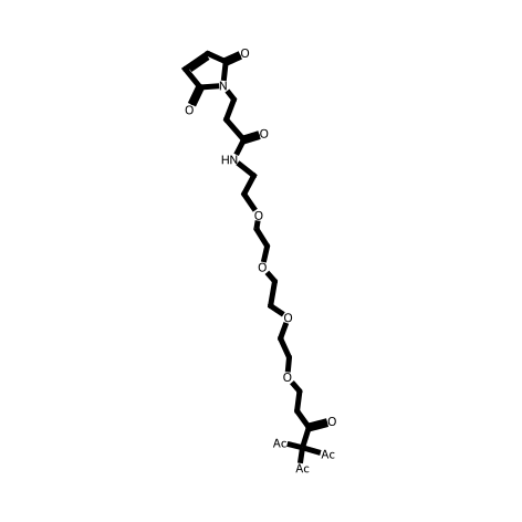 CC(=O)C(C(C)=O)(C(C)=O)C(=O)CCOCCOCCOCCOCCNC(=O)CCN1C(=O)C=CC1=O